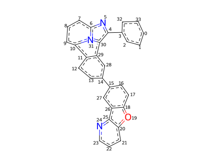 c1ccc(-c2nc3cccc4c5ccc(-c6ccc7oc8cccnc8c7c6)cc5c2n34)cc1